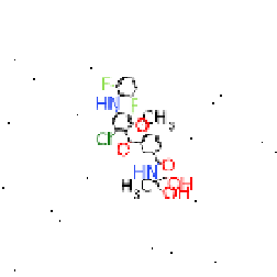 COc1ccc(C(=O)NC(C)(CO)CO)cc1C(=O)c1ccc(Nc2c(F)cccc2F)cc1Cl